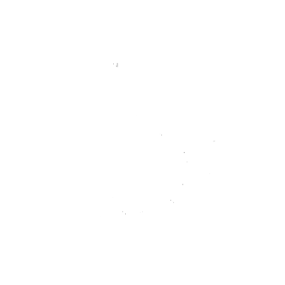 O=C(Oc1ccc([NH+]([O-])O)cc1)OC12CC3CC(CC(NCC(=O)N4Cc5ccccc5C4)(C3)C1)C2